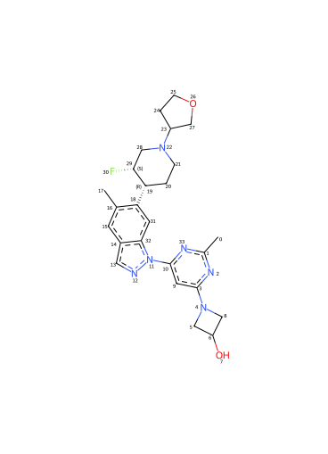 Cc1nc(N2CC(O)C2)cc(-n2ncc3cc(C)c([C@H]4CCN(C5CCOC5)C[C@H]4F)cc32)n1